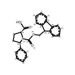 O=C(O)[C@@H]1CC[C@H](c2ccccc2)N1C(=O)OCC1c2ccccc2-c2ccccc21